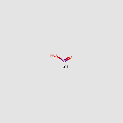 O=PO.[KH]